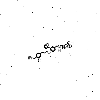 CC(C)Cc1ccc(CCCOc2ccc(CNCCCP(=O)(O)O)cc2-c2ccco2)cc1Cl